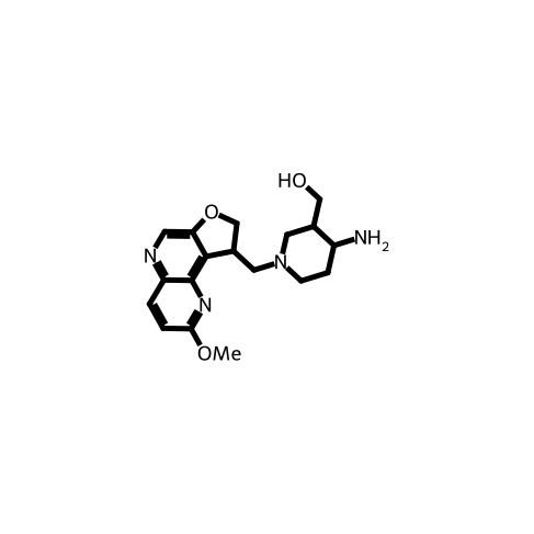 COc1ccc2ncc3c(c2n1)C(CN1CCC(N)C(CO)C1)CO3